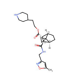 Cc1cc(CNC(=O)[C@H]2[C@H](C(=O)OCCC3CCNCC3)[C@H]3CC[C@@H]2C32CC2)no1